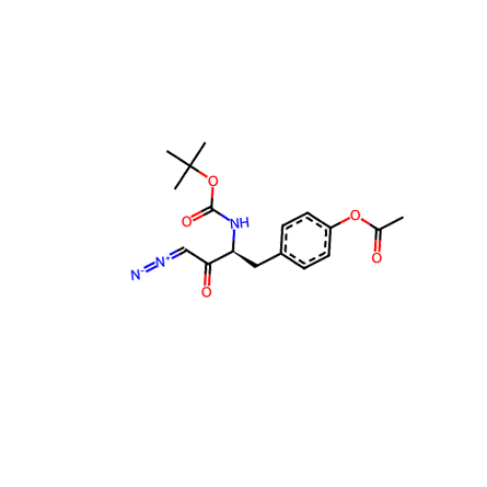 CC(=O)Oc1ccc(C[C@H](NC(=O)OC(C)(C)C)C(=O)C=[N+]=[N-])cc1